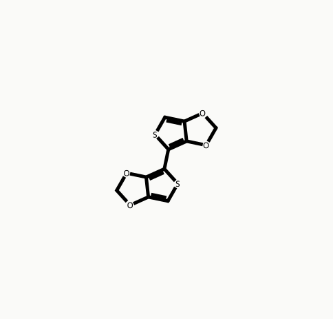 c1sc(-c2scc3c2OCO3)c2c1OCO2